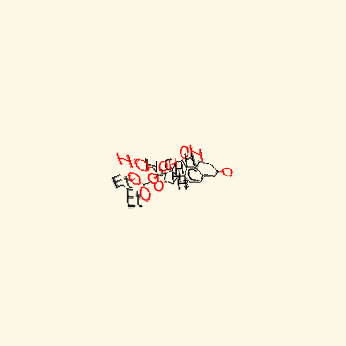 CCOC(CO[C@@H]1C[C@H]2[C@@H]3CCC4=CC(=O)CC[C@]4(C)[C@H]3[C@@H](O)C[C@]2(C)[C@@]1(O)C(=O)CO)OCC